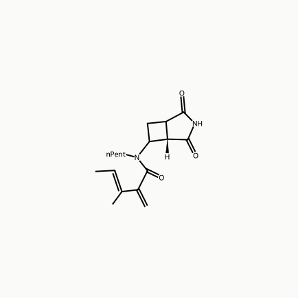 C=C(C(=O)N(CCCCC)C1CC2C(=O)NC(=O)[C@@H]21)C(C)=CC